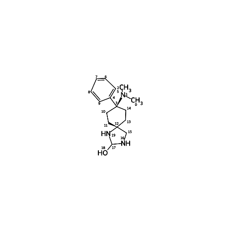 CN(C)[C@]1(c2ccccc2)CC[C@@]2(CC1)CNC(O)N2